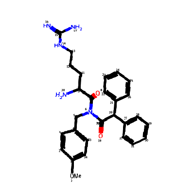 COc1ccc(CN(C(=O)C(N)CCCNC(=N)N)C(=O)C(c2ccccc2)c2ccccc2)cc1